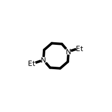 CCN1CCCN(CC)CCC1